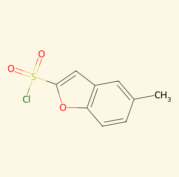 Cc1ccc2oc(S(=O)(=O)Cl)cc2c1